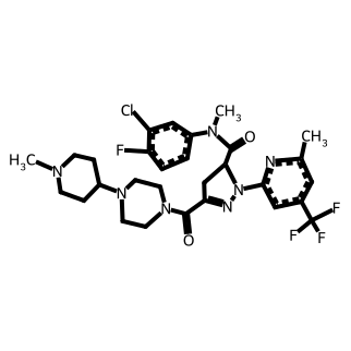 Cc1cc(C(F)(F)F)cc(N2N=C(C(=O)N3CCN(C4CCN(C)CC4)CC3)CC2C(=O)N(C)c2ccc(F)c(Cl)c2)n1